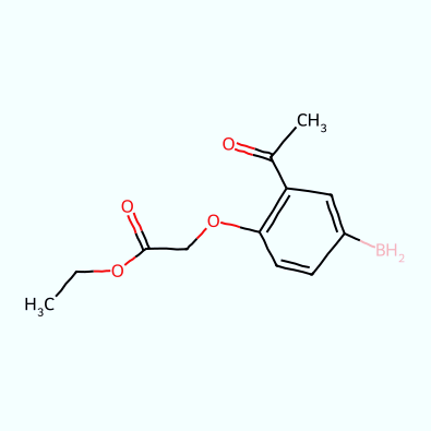 Bc1ccc(OCC(=O)OCC)c(C(C)=O)c1